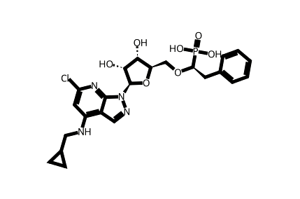 O=P(O)(O)[C@@H](Cc1ccccc1)OC[C@H]1O[C@@H](n2ncc3c(NCC4CC4)cc(Cl)nc32)[C@H](O)[C@@H]1O